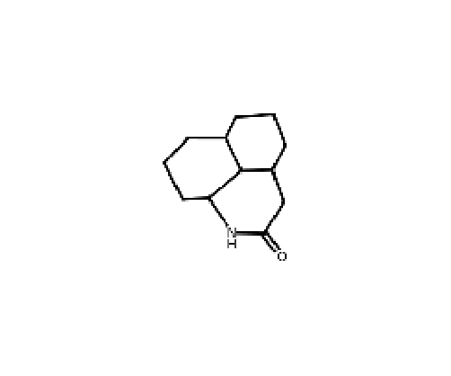 O=C1CC2CCCC3CCCC(N1)C32